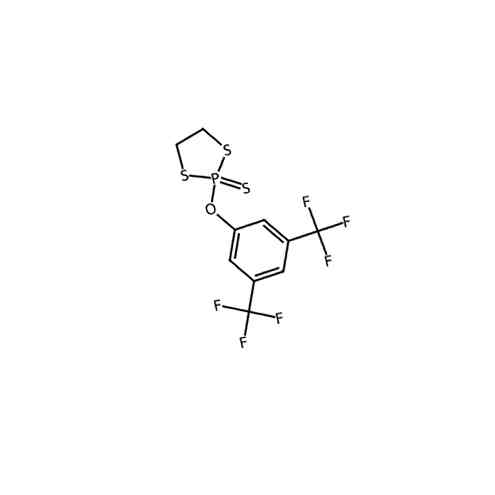 FC(F)(F)c1cc(OP2(=S)SCCS2)cc(C(F)(F)F)c1